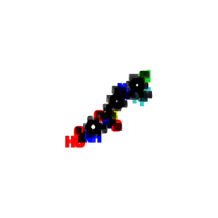 O=C(O)NC1CCCC(CN2C(=O)S/C(=C\c3ccc4c(cnn4Cc4ccc(Cl)cc4C(F)(F)F)c3)C2=O)C1